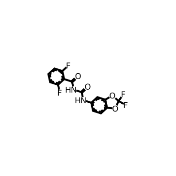 O=C(NC(=O)c1c(F)cccc1F)Nc1ccc2c(c1)OC(F)(F)O2